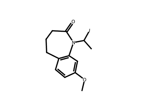 COc1ccc2c(c1)N(C(C)I)C(=O)CCC2